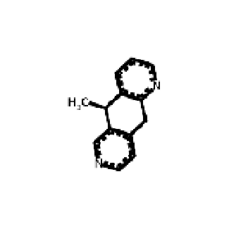 CC1c2cnccc2Cc2ncccc21